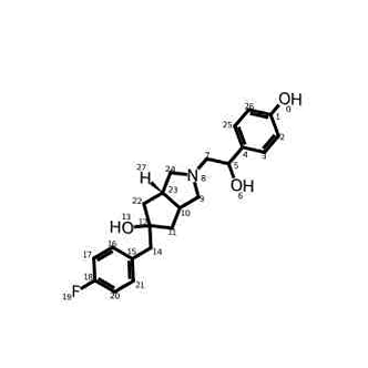 Oc1ccc(C(O)CN2CC3CC(O)(Cc4ccc(F)cc4)C[C@@H]3C2)cc1